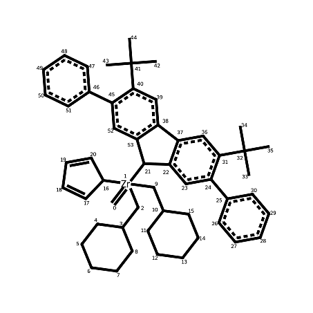 [CH2]=[Zr]([CH2]C1CCCCC1)([CH2]C1CCCCC1)([CH]1C=CC=C1)[CH]1c2cc(-c3ccccc3)c(C(C)(C)C)cc2-c2cc(C(C)(C)C)c(-c3ccccc3)cc21